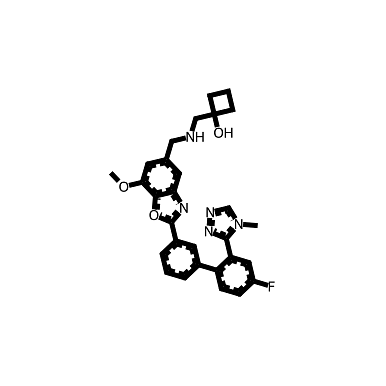 COc1cc(CNCC2(O)CCC2)cc2nc(-c3cccc(-c4ccc(F)cc4-c4nncn4C)c3)oc12